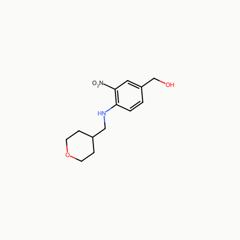 O=[N+]([O-])c1cc(CO)ccc1NCC1CCOCC1